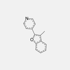 Cc1c(-c2ccncc2)oc2ccccc12